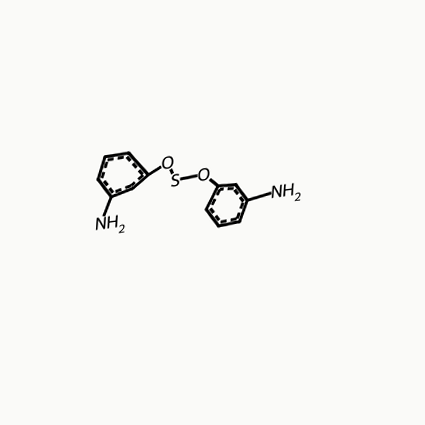 Nc1cccc(OSOc2cccc(N)c2)c1